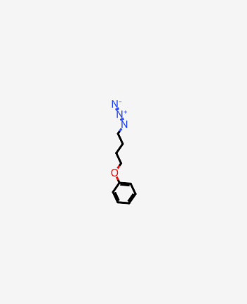 [N-]=[N+]=NCCCCOc1ccccc1